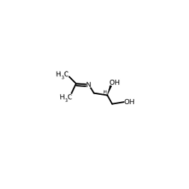 CC(C)=NC[C@@H](O)CO